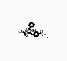 CCc1csc(C(Cc2ccc(C(N)=O)cc2)NC(=O)c2ccccc2)n1